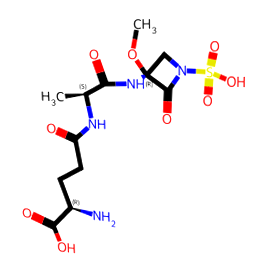 CO[C@]1(NC(=O)[C@H](C)NC(=O)CC[C@@H](N)C(=O)O)CN(S(=O)(=O)O)C1=O